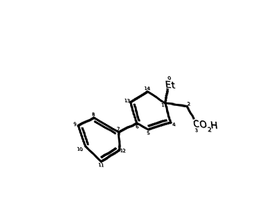 CCC1(CC(=O)O)C=CC(c2ccccc2)=CC1